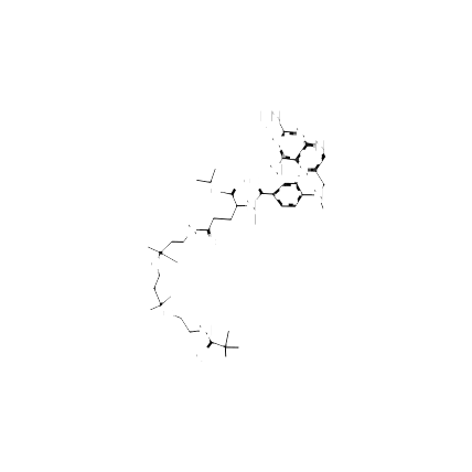 CC(C)OC(=O)C(CCC(=O)NCCC(C)(C)OCCC(C)(C)OCCNC(=O)C(C)(C)C)NC(=O)c1ccc(N(C)Cc2cnc3nc(N)nc(N)c3n2)cc1